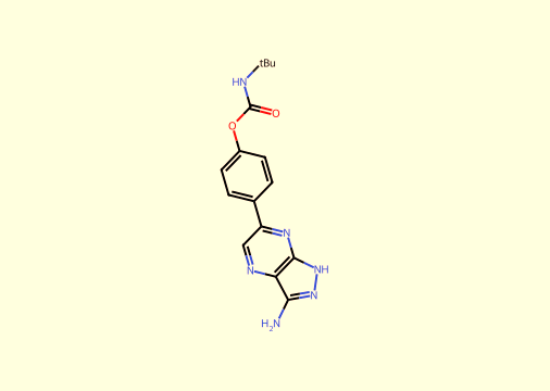 CC(C)(C)NC(=O)Oc1ccc(-c2cnc3c(N)n[nH]c3n2)cc1